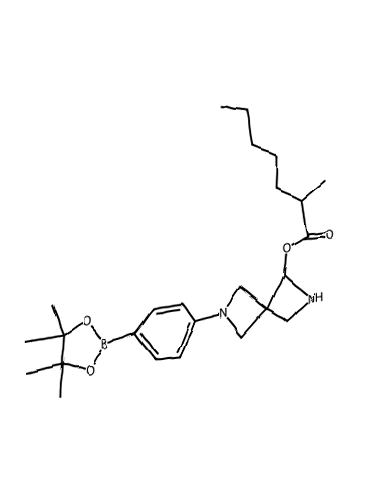 CCCCCC(C)C(=O)OC1NCC12CN(c1ccc(B3OC(C)(C)C(C)(C)O3)cc1)C2